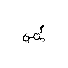 C=CCN1CC(C2=NCCO2)CC1=O